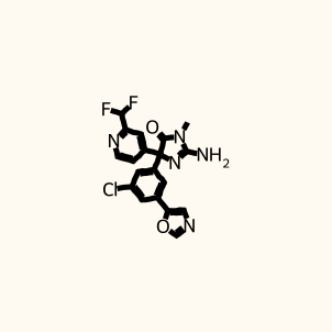 CN1C(=O)C(c2cc(Cl)cc(-c3cnco3)c2)(c2ccnc(C(F)F)c2)N=C1N